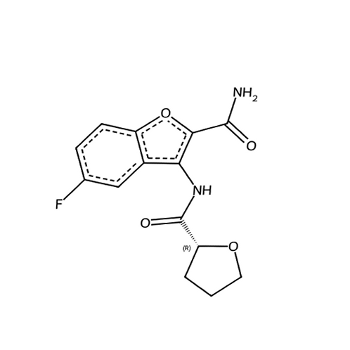 NC(=O)c1oc2ccc(F)cc2c1NC(=O)[C@H]1CCCO1